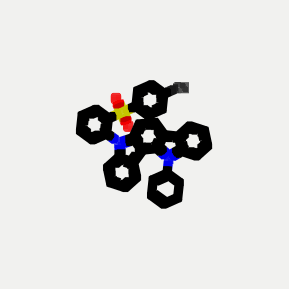 N#Cc1ccc(S(=O)(=O)c2ccccc2-n2c3ccccc3c3c4c(ccc32)c2ccccc2n4C2=CC=CCC2)cc1